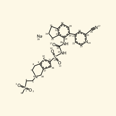 CS(=O)(=O)CCN1CCc2sc(S(=O)(=O)NC(=O)Nc3c(-c4ccnc(C#N)c4)ccc4c3CCC4)cc2C1.[Na]